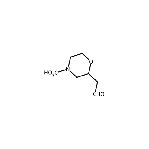 O=CCC1CN(C(=O)O)CCO1